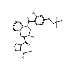 C[C@@H]1CN(C(=O)c2ccc(OCC(F)(F)F)cc2Cl)c2ccccc2CN1C(=O)N1CCC[C@H]1C(N)=O